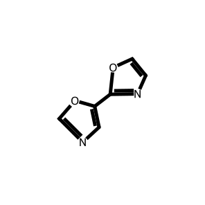 c1coc(-c2cnco2)n1